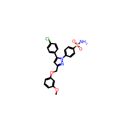 COc1cccc(OCc2cc(-c3ccc(Cl)cc3)n(-c3ccc(S(N)(=O)=O)cc3)n2)c1